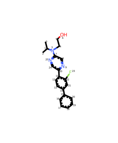 CC(C)N(CCO)c1cnc(-c2ccc(-c3ccccc3)cc2F)cn1